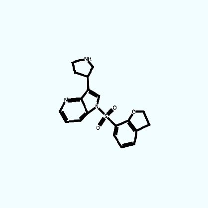 O=S(=O)(c1cccc2c1OCC2)n1cc(C2CCNC2)c2ncccc21